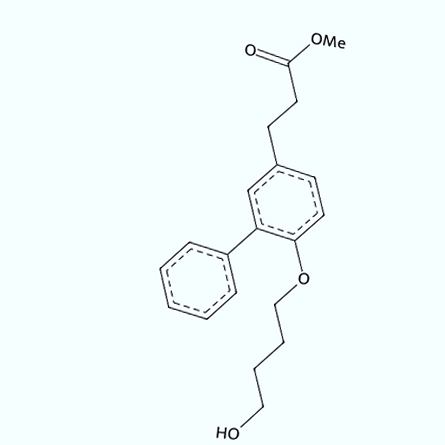 COC(=O)CCc1ccc(OCCCCO)c(-c2ccccc2)c1